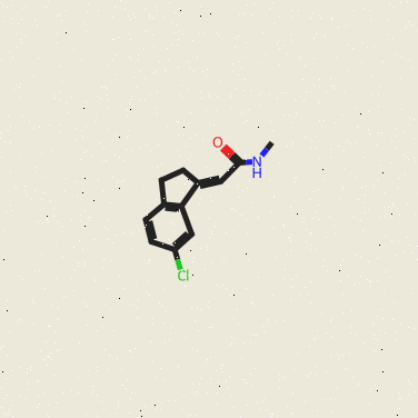 CNC(=O)/C=C1\CCc2ccc(Cl)cc21